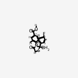 BC1(c2ccc(F)cc2)SCC(=O)N1c1ccc(C(=O)OC)cc1C